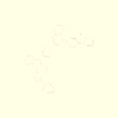 CC1(C)c2ccccc2-c2ccc(-c3nc(-c4ccc(-n5c6ccccc6c6c7ccn(-c8ccccc8)c7ccc65)cc4)nc4ccccc34)cc21